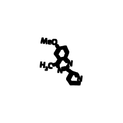 COc1ccc2nc(-c3cccnc3)nc(C)c2c1